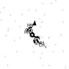 CNc1nccn2c(-c3ccc(NS(=O)(=O)CCNC4CC4)cc3)cnc12